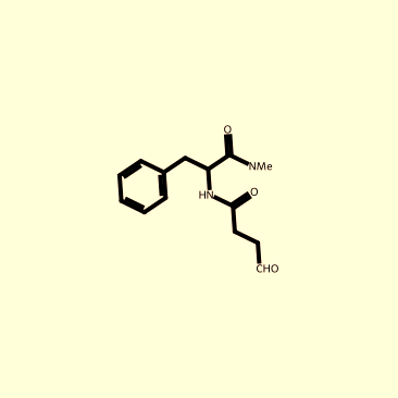 CNC(=O)C(Cc1ccccc1)NC(=O)CCC=O